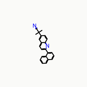 CC(C)(C#N)c1ccc2nc(-c3cccc4ccccc34)ccc2c1